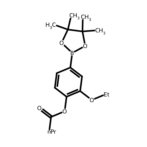 CCCC(=O)Oc1ccc(B2OC(C)(C)C(C)(C)O2)cc1OCC